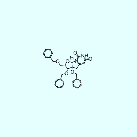 O=c1cc2n(c(=O)[nH]1)[C@@H]1O[C@H](COCc3ccccc3)[C@@H](OCc3ccccc3)[C@]1(OCc1ccccc1)C2